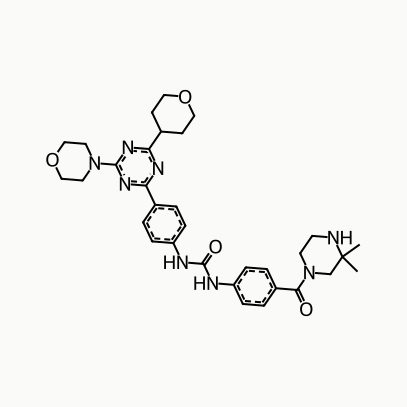 CC1(C)CN(C(=O)c2ccc(NC(=O)Nc3ccc(-c4nc(C5CCOCC5)nc(N5CCOCC5)n4)cc3)cc2)CCN1